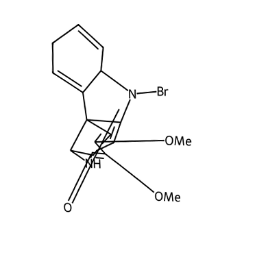 COC1=CNC2C(=O)CC=C3N(Br)C4C=CCC=C4C32C=C1OC